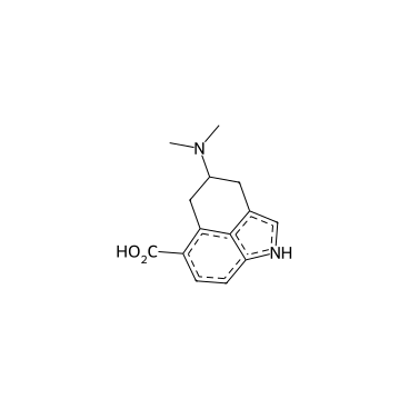 CN(C)C1Cc2c[nH]c3ccc(C(=O)O)c(c23)C1